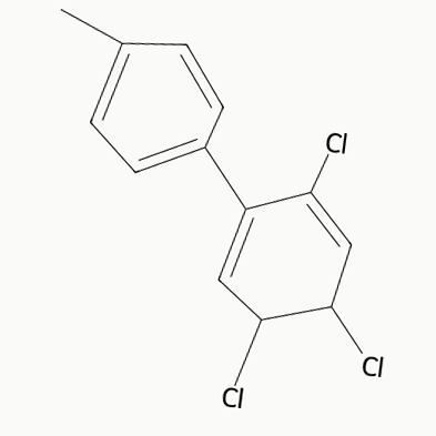 Cc1ccc(C2=CC(Cl)C(Cl)C=C2Cl)cc1